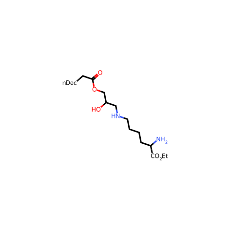 CCCCCCCCCCCC(=O)OCC(O)CNCCCCC(N)C(=O)OCC